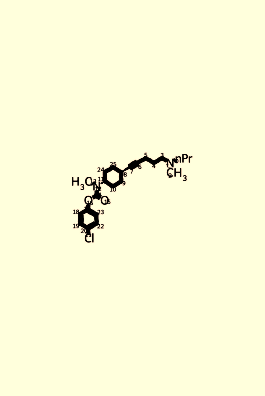 CCCN(C)CCCC#C[C@H]1CC[C@H](N(C)C(=O)Oc2ccc(Cl)cc2)CC1